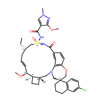 CC[C@H]1C/C=C/[C@H](OC)[C@@H]2CC[C@H]2CN2C[C@@]3(CCCc4cc(Cl)ccc43)COc3ccc(cc32)C(=O)N=[S@](=O)(NC(=O)c2cn(C)nc2OC)C1